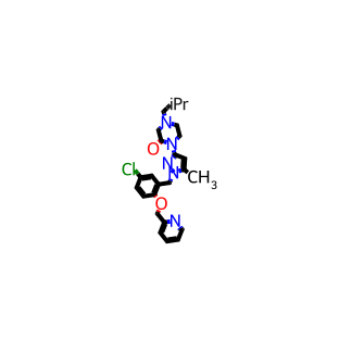 Cc1cc(N2CCN(CC(C)C)CC2=O)nn1Cc1cc(Cl)ccc1OCc1ccccn1